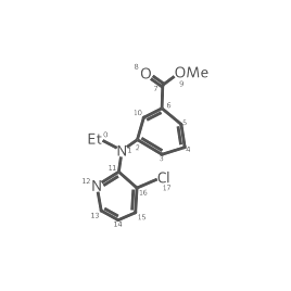 CCN(c1cccc(C(=O)OC)c1)c1ncccc1Cl